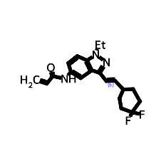 C=CC(=O)Nc1ccc2c(c1)c(/C=C/C1CCC(F)(F)CC1)nn2CC